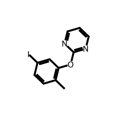 Cc1ccc(I)cc1Oc1ncccn1